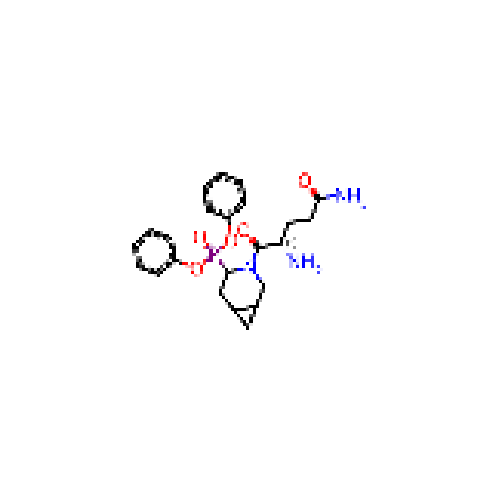 NC(=O)CC[C@H](N)C(=O)N1CC2CC2CC1P(=O)(Oc1ccccc1)Oc1ccccc1